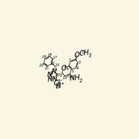 COc1ccc2c(c1)O[C@@H](c1nnnn1Cc1ccccc1)C[C@H]2N.[Cl-].[H+]